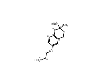 CCCCCCCCCC1(C)CCc2cc(OCCS(=O)(=O)O)ccc2O1